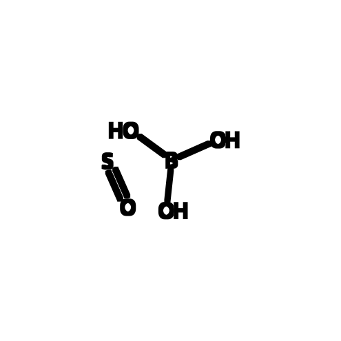 O=S.OB(O)O